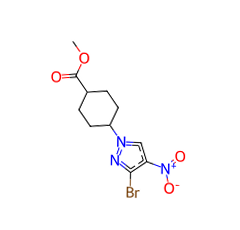 COC(=O)C1CCC(n2cc([N+](=O)[O-])c(Br)n2)CC1